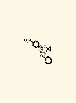 O=C(O)C1(NP(=O)(Oc2ccccc2)Oc2ccc([N+](=O)[O-])cc2)CC1